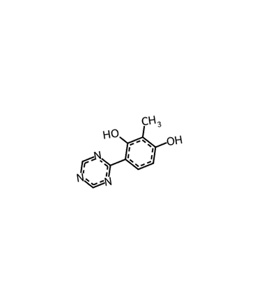 Cc1c(O)ccc(-c2ncncn2)c1O